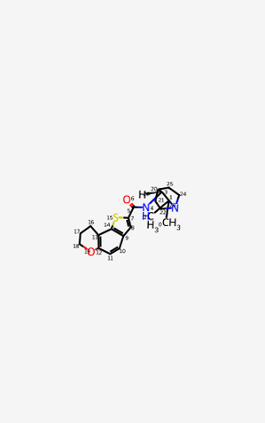 CC1(C)[C@H](NC(=O)c2cc3ccc4c(c3s2)CCCO4)C2CCN1CC2